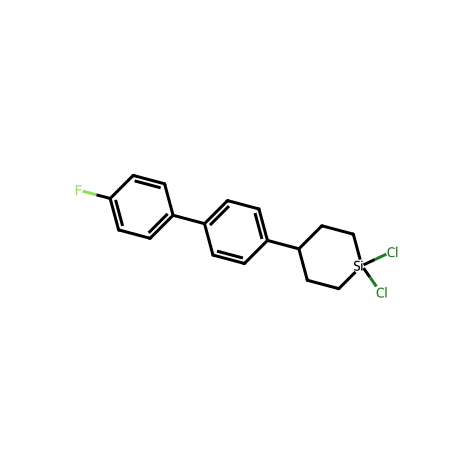 Fc1ccc(-c2ccc(C3CC[Si](Cl)(Cl)CC3)cc2)cc1